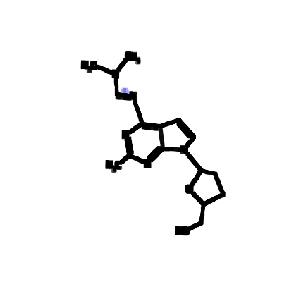 Cc1nc(/N=C/N(C)C)c2ccn(C3CCC(CO)O3)c2n1